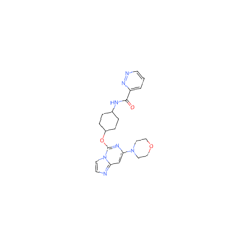 O=C(NC1CCC(Oc2nc(N3CCOCC3)cc3nccn23)CC1)c1cccnn1